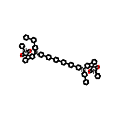 c1ccc(-c2ccc(N(c3ccc(-c4ccc(-c5ccc(-c6ccc(-c7ccc(-c8ccc(N(c9ccc(-c%10cccc(-c%11ccccc%11)c%10)cc9)c9ccc%10c(c9)C9(c%11ccccc%11-%10)c%10ccccc%10N(c%10ccccc%10)c%10ccccc%109)cc8)cc7)cc6)cc5)cc4)cc3)c3ccc4c(c3)C3(c5ccccc5-4)c4ccccc4N(c4ccccc4)c4ccccc43)cc2)cc1